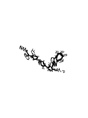 CNC(=O)[C@@H]1CC(n2cc(-c3cnc(N)c(-c4nc5ccccc5o4)c3)cn2)CN1